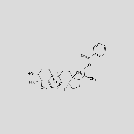 C[C@H](COC(=O)c1ccccc1)[C@H]1CC[C@H]2C3=CC=C4C(C)(C)C(O)CC[C@]4(C)[C@H]3CC[C@]12C